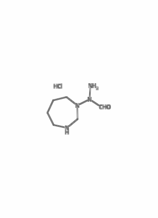 Cl.NN(C=O)N1CCCCNC1